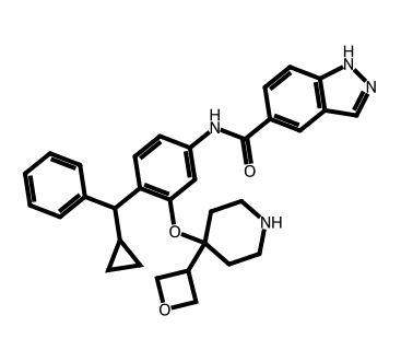 O=C(Nc1ccc(C(c2ccccc2)C2CC2)c(OC2(C3COC3)CCNCC2)c1)c1ccc2[nH]ncc2c1